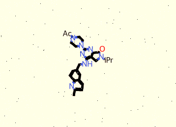 CC(=O)N1CCN(c2nc(NCc3ccc4nc(C)ccc4c3)c3c(n2)C(=O)N(C(C)C)C3)CC1